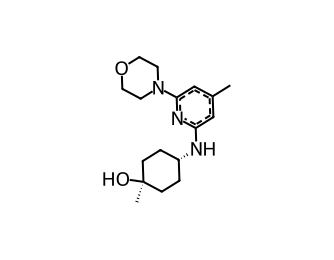 Cc1cc(N[C@H]2CC[C@](C)(O)CC2)nc(N2CCOCC2)c1